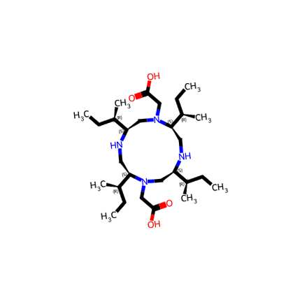 CC[C@@H](C)[C@H]1CN[C@@H]([C@H](C)CC)CN(CC(=O)O)[C@@H]([C@H](C)CC)CN[C@@H]([C@H](C)CC)CN1CC(=O)O